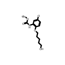 CC(C)(C)OC(=O)Nc1cc(Cl)ccc1OCC[CH]CCO